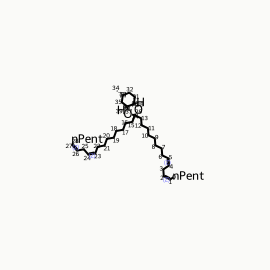 CCCCC/C=C\C/C=C\CCCCCCCCC1(CCCCCCCC/C=C\C/C=C\CCCCC)O[C@H]2CC[C@@H](C)C[C@@H]2O1